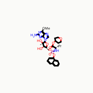 COc1nc(N)nc2c1ncn2C1O[C@H](COP(=O)(N[C@H](C(=O)OC2CCOCC2)C(C)C)Oc2cccc3ccccc23)[C@@H](O)[C@@]1(C)O